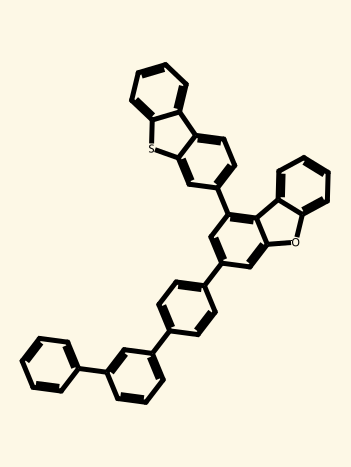 c1ccc(-c2cccc(-c3ccc(-c4cc(-c5ccc6c(c5)sc5ccccc56)c5c(c4)oc4ccccc45)cc3)c2)cc1